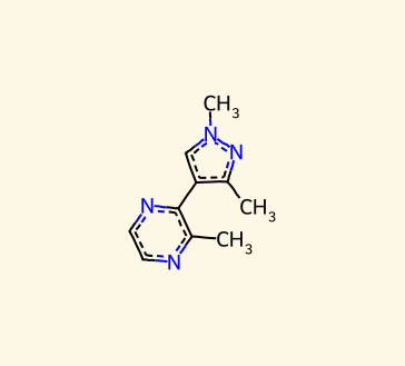 Cc1nn(C)cc1-c1nccnc1C